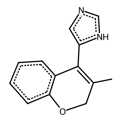 CC1=C(c2cnc[nH]2)c2ccccc2OC1